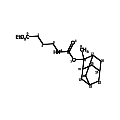 CCOC(=O)CCCNC(=O)OC1(C)C2CC3CC(C2)CC1C3